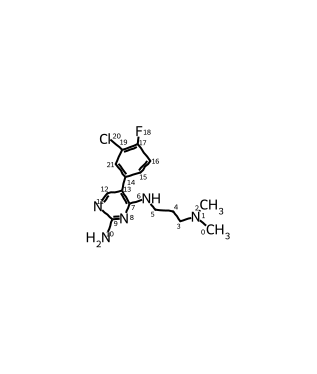 CN(C)CCCNc1nc(N)ncc1-c1ccc(F)c(Cl)c1